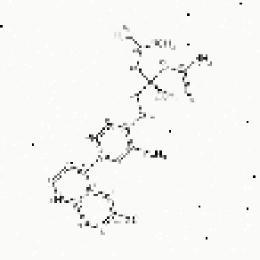 Cc1cc(-c2ccnc3ccc(Cl)cc23)ncc1OC[C@](C)(CC(C)C)OC(N)=O